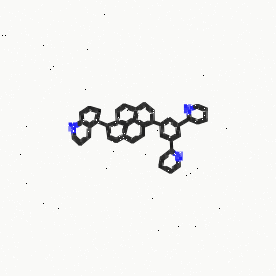 c1ccc(-c2cc(-c3ccccn3)cc(-c3ccc4ccc5c(-c6cccc7ncccc67)ccc6ccc3c4c65)c2)nc1